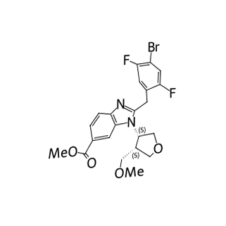 COC[C@H]1COC[C@H]1n1c(Cc2cc(F)c(Br)cc2F)nc2ccc(C(=O)OC)cc21